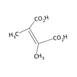 C/C(C(=O)O)=C(\C)C(=O)O